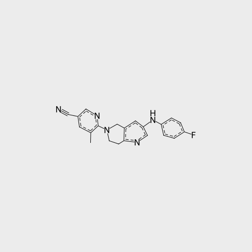 Cc1cc(C#N)cnc1N1CCc2ncc(Nc3ccc(F)cc3)cc2C1